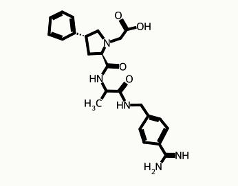 CC(NC(=O)[C@H]1C[C@H](c2ccccc2)CN1CC(=O)O)C(=O)NCc1ccc(C(=N)N)cc1